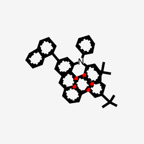 CC(C)(C)c1cc(-c2cccc3cccc(-c4ccccc4N(c4ccccc4)c4cc(-c5cccc6ccccc56)ccc4-c4ccccc4)c23)cc(C(C)(C)C)c1